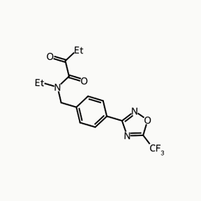 CCC(=O)C(=O)N(CC)Cc1ccc(-c2noc(C(F)(F)F)n2)cc1